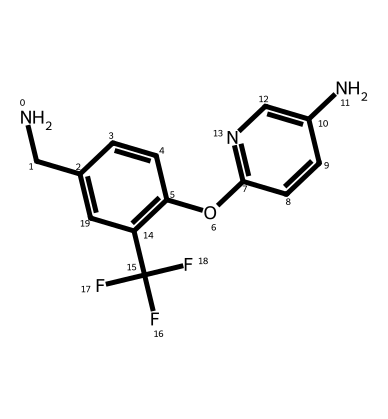 NCc1ccc(Oc2ccc(N)cn2)c(C(F)(F)F)c1